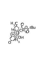 C[C@@H]1C[C@H]2[C@@H]3CCC4=CC(=O)C=C[C@]4(C)[C@@]3(Cl)[C@@H](O)C[C@]2(C)[C@H]1C(=O)COC(=O)C(C)(C)C